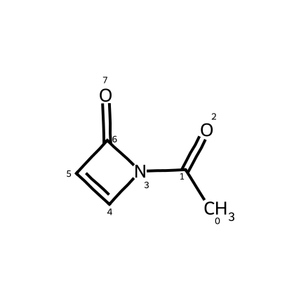 CC(=O)N1C=CC1=O